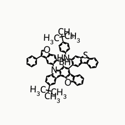 CC(C)(C)c1ccc(Nc2cc3sc4ccccc4c3cc2-c2c3c4c(c5cc(C(C)(C)C)ccc5n4-c4cc5c(-c6ccccc6)coc5cc4B3)c3oc4ccccc4c23)cc1